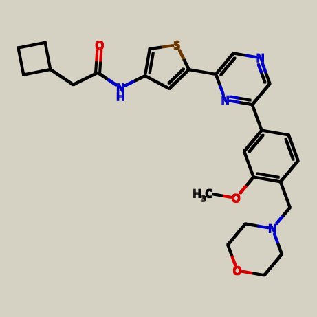 COc1cc(-c2cncc(-c3cc(NC(=O)CC4CCC4)cs3)n2)ccc1CN1CCOCC1